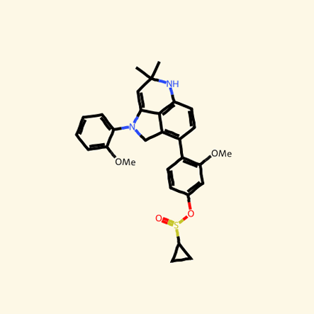 COc1cc(OS(=O)C2CC2)ccc1-c1ccc2c3c1CN(c1ccccc1OC)C3=CC(C)(C)N2